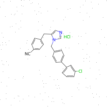 Cl.N#Cc1ccc(Cc2cncn2Cc2ccc(-c3cccc(Cl)c3)cc2)cc1